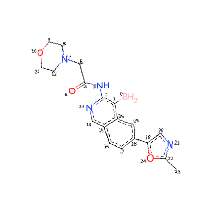 Bc1c(NC(=O)CN2CCOCC2)ncc2ccc(-c3cnc(C)o3)cc12